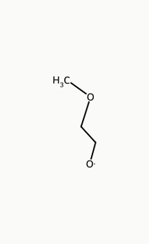 COCC[O]